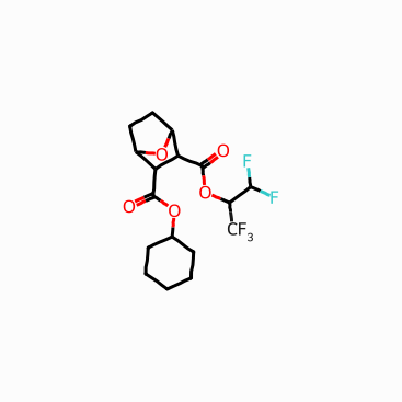 O=C(OC1CCCCC1)C1C2CCC(O2)C1C(=O)OC(C(F)F)C(F)(F)F